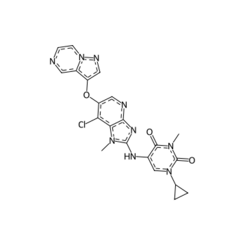 Cn1c(=O)c(Nc2nc3ncc(Oc4cnn5ccncc45)c(Cl)c3n2C)cn(C2CC2)c1=O